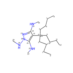 CCC[CH2][Sn]([CH2]CCC)([CH2]CCC)[c]1c(NC)nn(NC)c1NC